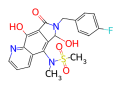 CN(c1c2c(c(O)c3ncccc13)C(=O)N(Cc1ccc(F)cc1)C2O)S(C)(=O)=O